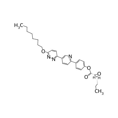 CCCCCCCCOc1ccc(-c2ccc(-c3ccc(OC(=O)[C@@H]4O[C@@H]4CCC)cc3)nc2)nn1